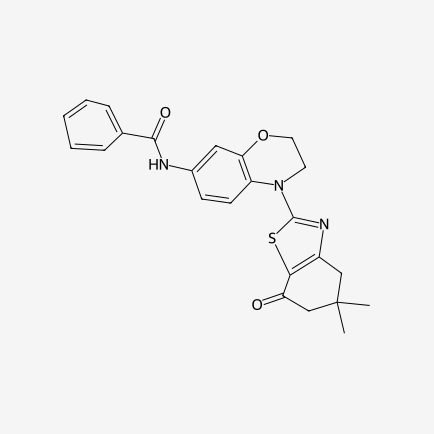 CC1(C)CC(=O)c2sc(N3CCOc4cc(NC(=O)c5ccccc5)ccc43)nc2C1